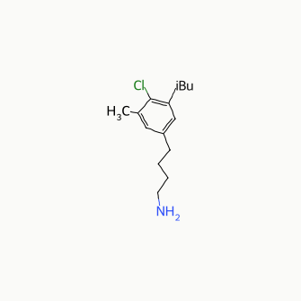 CCC(C)c1cc(CCCCN)cc(C)c1Cl